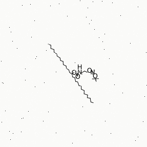 CCCCCCCCCCCCCCCC(CCCCCCCCCCCCCC)OC(=O)NCCCON(C)COC(C)(C)C